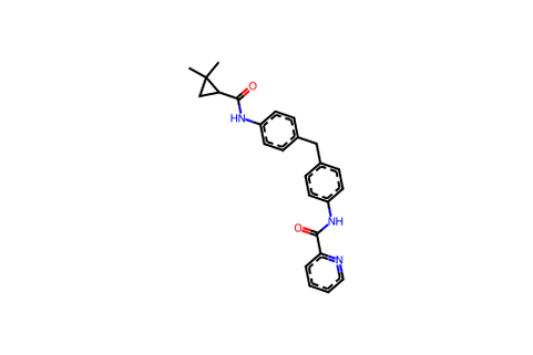 CC1(C)CC1C(=O)Nc1ccc(Cc2ccc(NC(=O)c3ccccn3)cc2)cc1